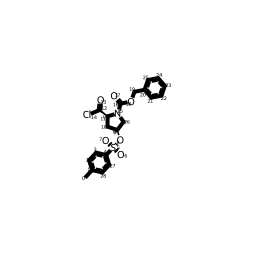 Cc1ccc(S(=O)(=O)O[C@@H]2C[C@@H](C(=O)Cl)N(C(=O)OCc3ccccc3)C2)cc1